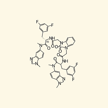 CN(C(=O)C(Cc1cc(F)cc(F)c1)NC(=O)CN1c2ccccc2N(CC(=O)N[C@@H](Cc2cc(F)cc(F)c2)C(=O)N(C)c2ccc3c(c2)ncn3C)S1(=O)=O)c1ccc2c(c1)ncn2C